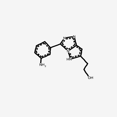 Nc1cccc(-c2nnc3cc(CCO)[nH]n23)c1